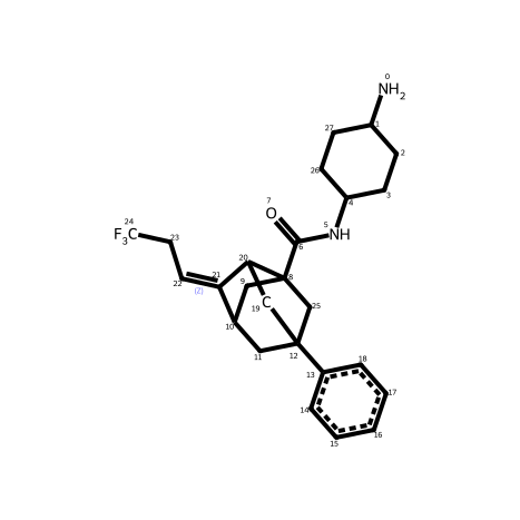 NC1CCC(NC(=O)C23CC4CC(c5ccccc5)(CC2/C4=C\CC(F)(F)F)C3)CC1